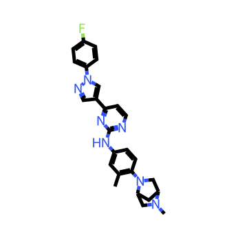 Cc1cc(Nc2nccc(-c3cnn(-c4ccc(F)cc4)c3)n2)ccc1N1CC2CC1CN2C